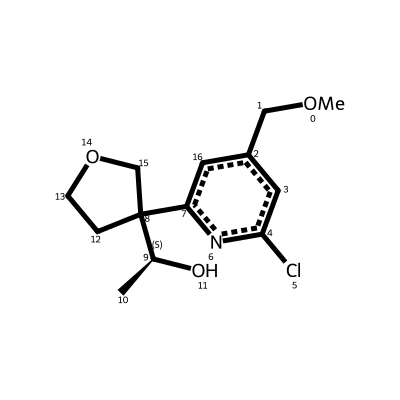 COCc1cc(Cl)nc(C2([C@H](C)O)CCOC2)c1